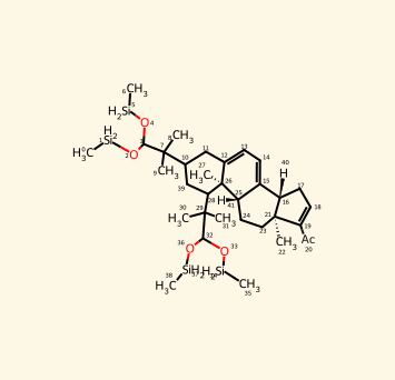 C[SiH2]OC(O[SiH2]C)C(C)(C)C1CC2=CC=C3[C@@H]4CC=C(C(C)=O)[C@@]4(C)CC[C@@H]3[C@@]2(C)C(C(C)(C)C(O[SiH2]C)O[SiH2]C)C1